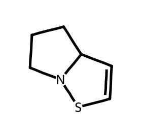 C1=CC2CCCN2S1